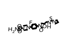 NS(=O)(=O)N1CCN(c2ccc(N3CC(CNC(=S)N4CCC4)OC3=O)cc2F)CC1